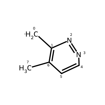 [CH2]c1nnccc1C